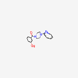 O=C(c1cccc(O)c1)N1CCN(c2ccccn2)CC1